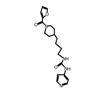 O=C(NCCCCC1CCN(C(=O)c2ccco2)CC1)Nc1ccncc1